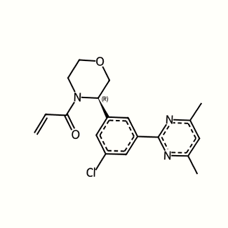 C=CC(=O)N1CCOC[C@H]1c1cc(Cl)cc(-c2nc(C)cc(C)n2)c1